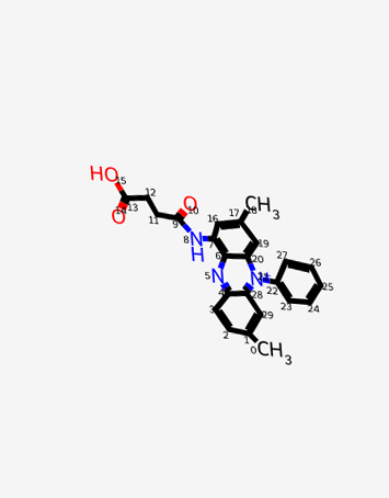 Cc1ccc2nc3c(NC(=O)CCC(=O)O)cc(C)cc3[n+](-c3ccccc3)c2c1